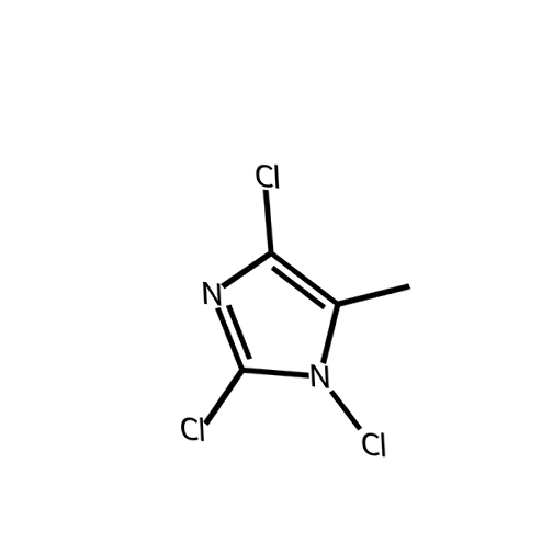 Cc1c(Cl)nc(Cl)n1Cl